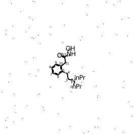 CCCN(CCC)CCc1ccccc1CC(=O)NO